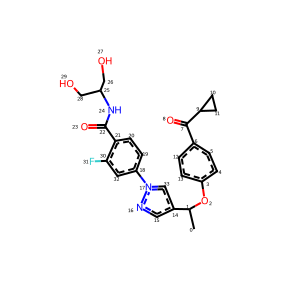 CC(Oc1ccc(C(=O)C2CC2)cc1)c1cnn(-c2ccc(C(=O)NC(CO)CO)c(F)c2)c1